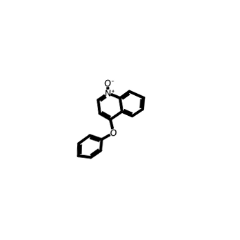 [O-][n+]1ccc(Oc2ccccc2)c2ccccc21